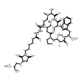 CC[C@H](C)[C@@H]([C@@H](CC(=O)N1CCC[C@H]1[C@H](OC)[C@@H](C)C(=O)N[C@@H](Cc1c[nH]c2ccccc12)C(=O)O)OC)N(C)[C@H](C(=O)NC(=O)[C@H](C(C)C)N(C)CCCC(=O)NNC(=O)CCCCCN1C(=O)CC(SC[C@H](N)C(=O)O)C1=O)C(C)C